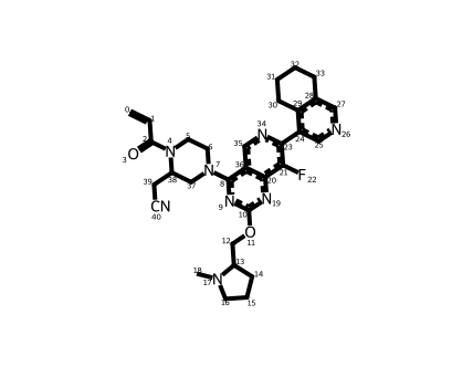 C=CC(=O)N1CCN(c2nc(OCC3CCCN3C)nc3c(F)c(-c4cncc5c4CCCC5)ncc23)CC1CC#N